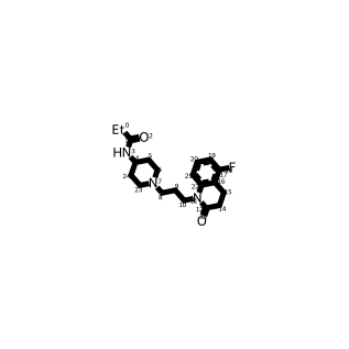 CCC(=O)NC1CCN(CCCN2C(=O)CCc3c(F)cccc32)CC1